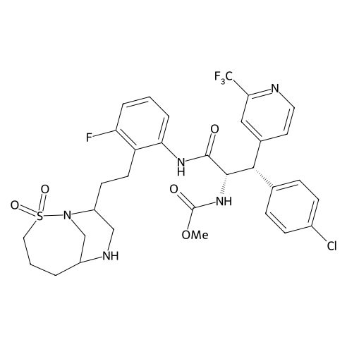 COC(=O)N[C@H](C(=O)Nc1cccc(F)c1CCC1CNC2CCCS(=O)(=O)N1C2)[C@@H](c1ccc(Cl)cc1)c1ccnc(C(F)(F)F)c1